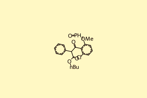 CCCCOC(=O)C(C(=O)c1c(Cl)cccc1OC)c1ccccc1.O=[PH3]